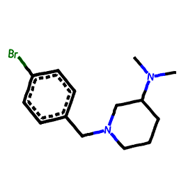 CN(C)C1CCCN(Cc2ccc(Br)cc2)C1